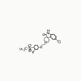 CS(=O)(=O)c1ccc(OCCN2CCC3(CC2)C(=O)Nc2ccc(Cl)cc23)cc1F